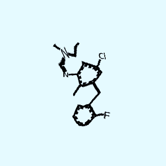 CCN(C)/C=N\c1cc(Cl)cc(Cc2ccccc2F)c1C